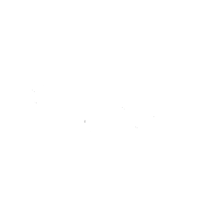 O=C(NCc1ccc2cn[nH]c2c1)c1ccc2nc(N3CCCCC3)c(-c3ccc(F)cc3)nc2c1